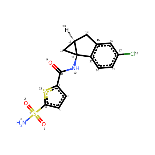 NS(=O)(=O)c1ccc(C(=O)N[C@@]23C[C@H]2Cc2cc(Cl)ccc23)s1